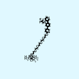 CC(C)(C)[Si](C)(C)OCCOCCOCCOCCOCCOc1ccc(-c2ccc3c4cnccc4n(CC(F)(F)F)c3c2)cn1